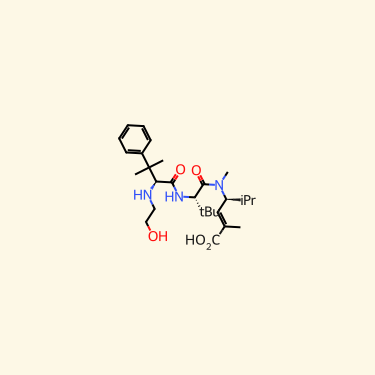 C/C(=C\[C@H](C(C)C)N(C)C(=O)[C@@H](NC(=O)[C@@H](NCCO)C(C)(C)c1ccccc1)C(C)(C)C)C(=O)O